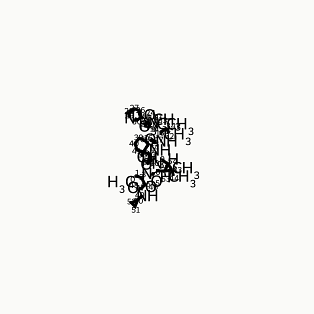 CCC(NC(=O)[C@@H]1[C@@H]2[C@H](CN1C(=O)[C@@H](NC(=O)N[C@H](CN(C)S(=O)(=O)c1cccnc1)C(C)(C)C)C1(C)CCCCC1)C2(C)C)C(=O)C(=O)NC1CC1